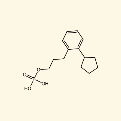 O=P(O)(O)OCCCc1ccccc1C1CCCC1